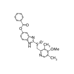 COc1c(C)cnc(C[S+]([O-])c2nc3cc(OC(=O)c4ccccc4)ccc3[nH]2)c1C